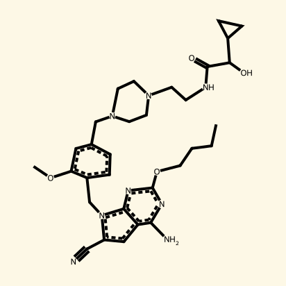 CCCCOc1nc(N)c2cc(C#N)n(Cc3ccc(CN4CCN(CCNC(=O)C(O)C5CC5)CC4)cc3OC)c2n1